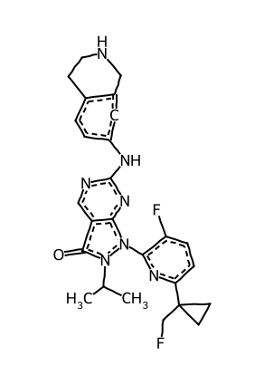 CC(C)n1c(=O)c2cnc(Nc3ccc4c(c3)CNCC4)nc2n1-c1nc(C2(CF)CC2)ccc1F